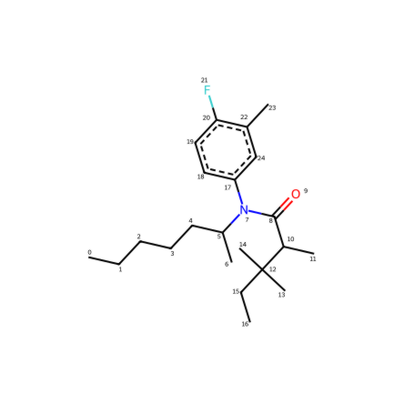 CCCCCC(C)N(C(=O)C(C)C(C)(C)CC)c1ccc(F)c(C)c1